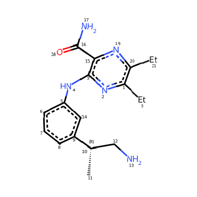 CCc1nc(Nc2cccc([C@@H](C)CN)c2)c(C(N)=O)nc1CC